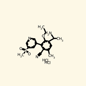 CCOc1c(C(C)N)cc(C)c(C#N)c1-c1cncc(S(C)(=O)=O)c1.Cl.Cl